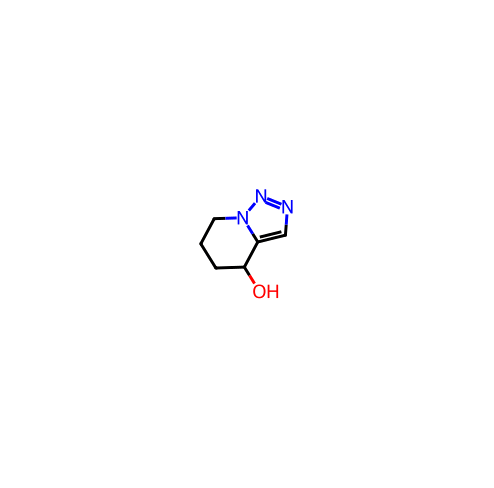 OC1CCCn2nncc21